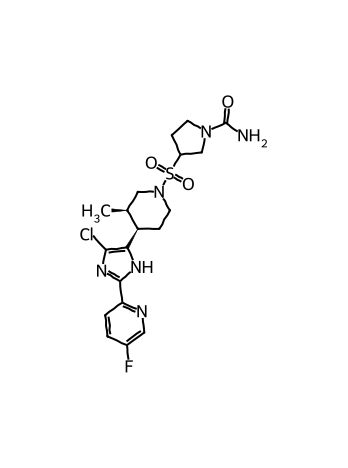 C[C@H]1CN(S(=O)(=O)C2CCN(C(N)=O)C2)CC[C@H]1c1[nH]c(-c2ccc(F)cn2)nc1Cl